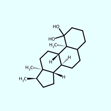 C[C@@H]1CC[C@H]2[C@@H]3CCC4CCCC(O)(O)[C@]4(C)[C@H]3CC[C@]12C